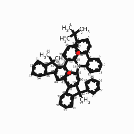 CC(C)(C)c1ccc(-c2ccccc2N(c2ccc3c(c2)C(C)(c2ccccc2)c2ccccc2-3)c2ccccc2-c2cccc3c2C(C)(C)c2ccccc2-3)cc1